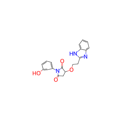 O=C1CC(OCCc2nc3ccccc3[nH]2)C(=O)N1c1cccc(O)c1